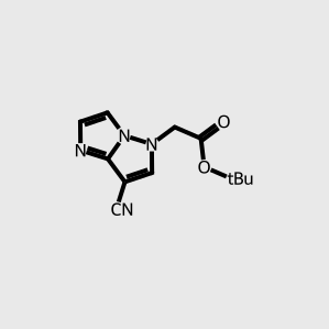 CC(C)(C)OC(=O)Cn1cc(C#N)c2nccn21